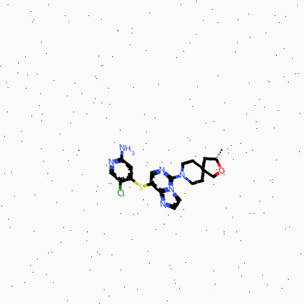 C[C@H]1CC2(CCN(c3ncc(Sc4cc(N)ncc4Cl)c4nccn34)CC2)CO1